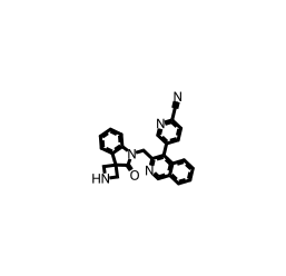 N#Cc1ccc(-c2c(CN3C(=O)C4(CNC4)c4ccccc43)ncc3ccccc23)cn1